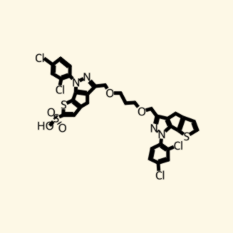 O=S(=O)(O)c1cc2c(s1)-c1c(c(COCCCOCc3nn(-c4ccc(Cl)cc4Cl)c4c3Cc3ccsc3-4)nn1-c1ccc(Cl)cc1Cl)C2